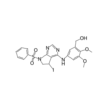 COc1cc(Nc2ncnc3c2C(I)CN3S(=O)(=O)c2ccccc2)cc(CO)c1OC